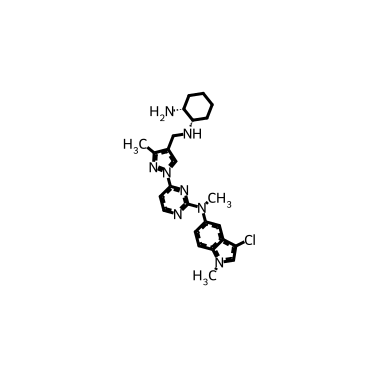 Cc1nn(-c2ccnc(N(C)c3ccc4c(c3)c(Cl)cn4C)n2)cc1CN[C@H]1CCCC[C@H]1N